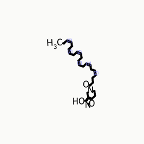 CC/C=C\C/C=C\C/C=C\C/C=C\C/C=C\C/C=C\CCC(=O)N1CCc2onc(O)c2C1